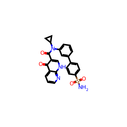 NS(=O)(=O)c1ccc(-c2cccc(N(C(=O)c3c[nH]c4ncccc4c3=O)C3CC3)c2)cc1